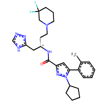 O=C(N[C@@H](CCN1CCCC(F)(F)C1)Cc1nnc[nH]1)c1cc(-c2ccccc2C(F)(F)F)n(C2CCCC2)n1